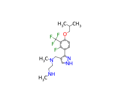 CNCCN(C)Cc1c[nH]nc1-c1ccc(OCC(C)C)c(C(F)(F)F)c1F